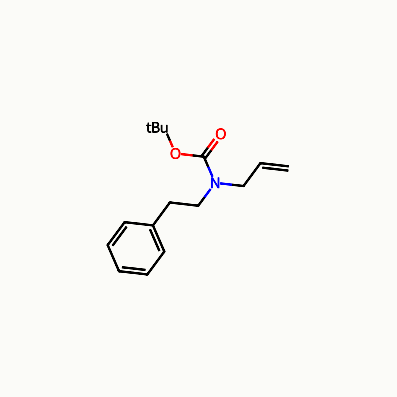 C=CCN(CCc1ccccc1)C(=O)OC(C)(C)C